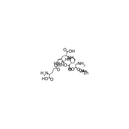 NCC(=O)O.N[C@@H](CCC(=O)O)C(=O)O.N[C@@H](Cc1c[nH]cn1)C(=O)O.O=C(O)[C@@H]1CCCN1.[Ca].[Mn].[Zn]